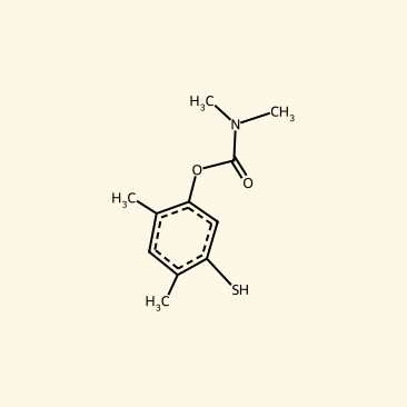 Cc1cc(C)c(OC(=O)N(C)C)cc1S